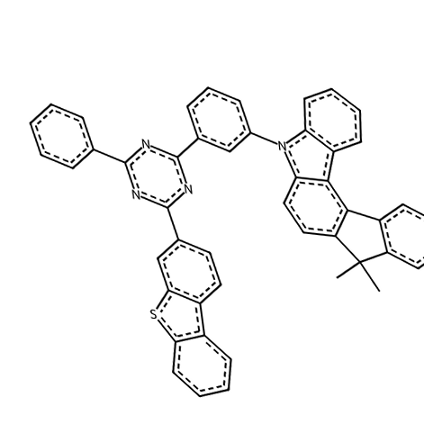 CC1(C)c2ccccc2-c2c1ccc1c2c2ccccc2n1-c1cccc(-c2nc(-c3ccccc3)nc(-c3ccc4c(c3)sc3ccccc34)n2)c1